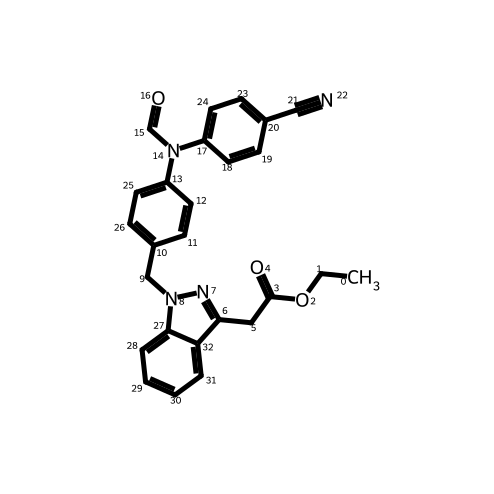 CCOC(=O)Cc1nn(Cc2ccc(N(C=O)c3ccc(C#N)cc3)cc2)c2ccccc12